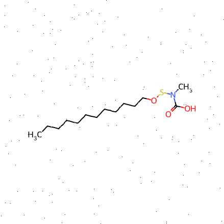 CCCCCCCCCCCCOSN(C)C(=O)O